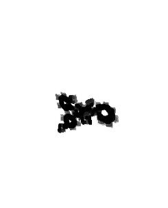 N#C[C@@H]1C(C(=O)NN2CCCCCC2)=NN(c2ccccc2Cl)[C@@H]1c1ccc(Cl)cc1